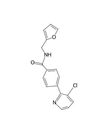 O=C(NCc1ccco1)c1ccc(-c2ncccc2Cl)cc1